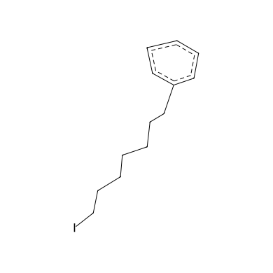 ICCCCCCCc1ccccc1